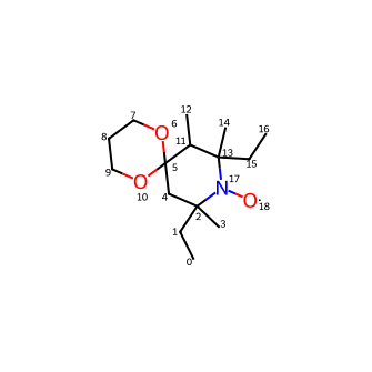 CCC1(C)CC2(OCCCO2)C(C)C(C)(CC)N1[O]